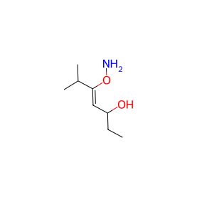 CCC(O)/C=C(\ON)C(C)C